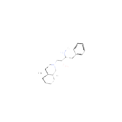 CCN[C@@H](Cc1ccccc1)[C@H](O)CN1CC[C@@H]2CCCC[C@@H]2C1